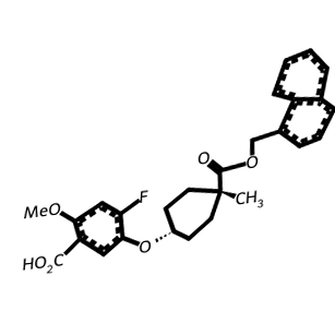 COc1cc(F)c(O[C@H]2CC[C@@](C)(C(=O)OCc3cccc4ccccc34)CC2)cc1C(=O)O